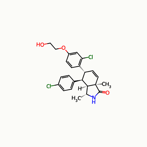 C[C@H]1NC(=O)[C@]2(C)C=C[C@@H](c3ccc(OCCO)cc3Cl)[C@H](c3ccc(Cl)cc3)[C@H]12